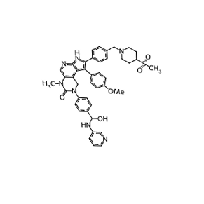 COc1ccc(-c2c(-c3ccc(CN4CCC(S(C)(=O)=O)CC4)cc3)[nH]c3ncc4c(c23)CN(c2ccc(C(O)Nc3cccnc3)cc2)C(=O)N4C)cc1